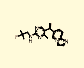 C=C(c1ccc2nccn2c1)c1cnc(NCC(C)(C)F)nc1C